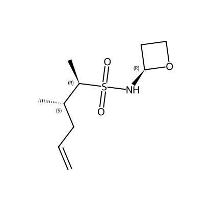 C=CC[C@H](C)[C@@H](C)S(=O)(=O)N[C@H]1CCO1